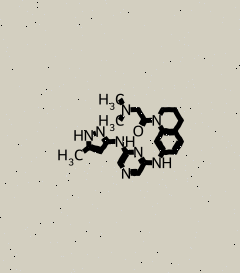 Cc1cc(Nc2cncc(Nc3ccc4c(c3)N(C(=O)CN(C)C)CCC4)n2)n[nH]1